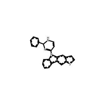 C1=CC(n2c3ccccc3c3cc4sccc4cc32)=NC(c2ccccc2)N1